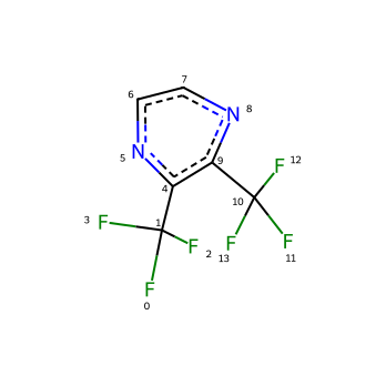 FC(F)(F)c1nccnc1C(F)(F)F